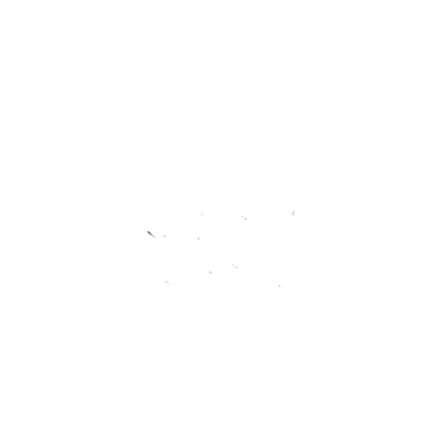 OC[C@H]1C[C@@H](n2cnc3c(=S)[nH]cnc32)[C@@H](O)[C@@H]1O